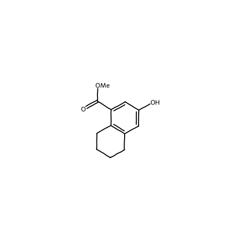 COC(=O)c1cc(O)cc2c1CCCC2